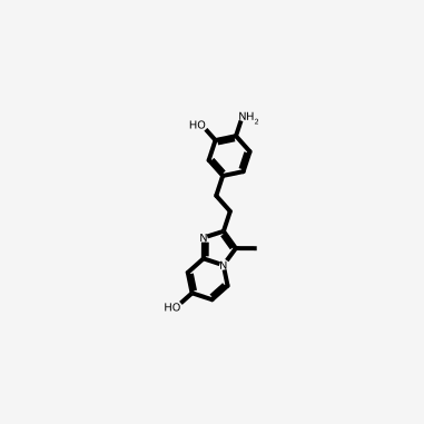 Cc1c(CCc2ccc(N)c(O)c2)nc2cc(O)ccn12